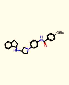 CC(C)COc1ccc(C(=O)Nc2ccc(N3CCC(NC4CCc5ccccc54)C3)cc2)cc1